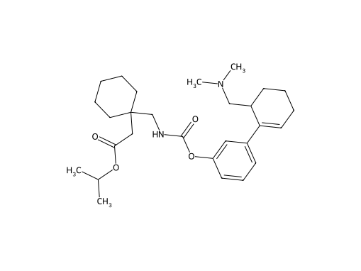 CC(C)OC(=O)CC1(CNC(=O)Oc2cccc(C3=CCCCC3CN(C)C)c2)CCCCC1